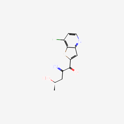 C[C@@H](O)CC(=N)C(=O)c1cc2nccc(Cl)c2s1